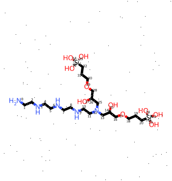 NCCNCCNCCNCCN(CC(O)COCCC[Si](O)(O)O)CC(O)COCCC[Si](O)(O)O